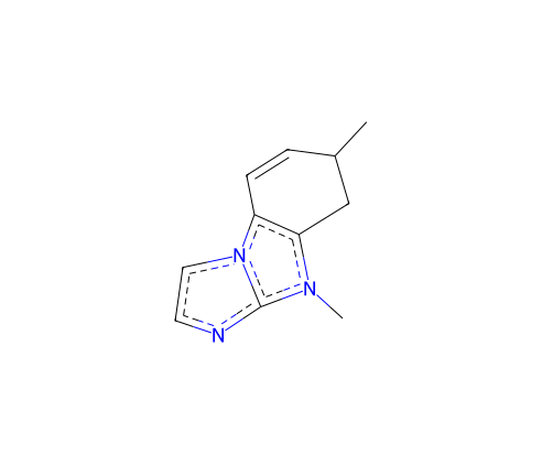 CC1C=Cc2c(n(C)c3nccn23)C1